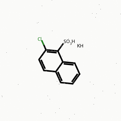 O=S(=O)(O)c1c(Cl)ccc2ccccc12.[KH]